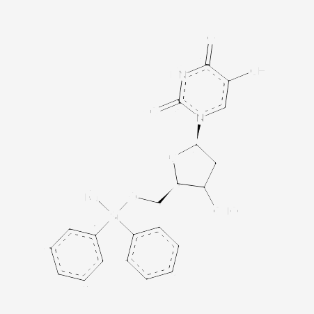 Cc1cn([C@H]2CC(C=O)[C@@H](CO[Si](c3ccccc3)(c3ccccc3)C(C)(C)C)O2)c(=O)[nH]c1=O